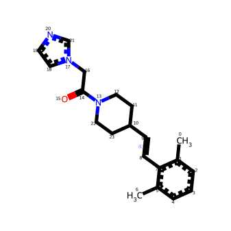 Cc1cccc(C)c1/C=C/C1CCN(C(=O)Cn2ccnc2)CC1